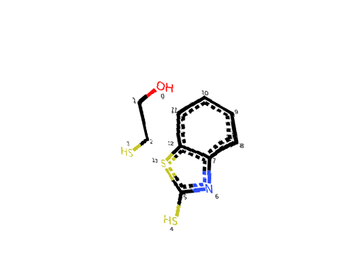 OCCS.Sc1nc2ccccc2s1